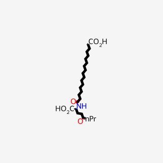 CCCC(=O)CC[C@H](NC(=O)CCCCCCCCCCCCCCCCC(=O)O)C(=O)O